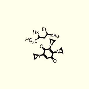 CCCCC(CC)CC(S)C(=O)O.O=C1C=C(N2CC2)C(=O)C(N2CC2)=C1N1CC1